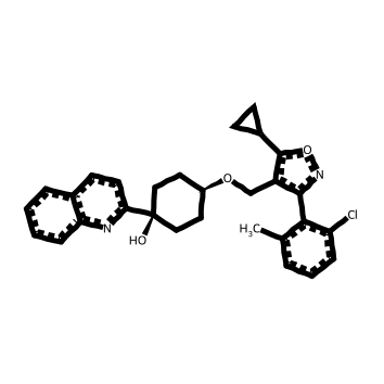 Cc1cccc(Cl)c1-c1noc(C2CC2)c1CO[C@H]1CC[C@](O)(c2ccc3ccccc3n2)CC1